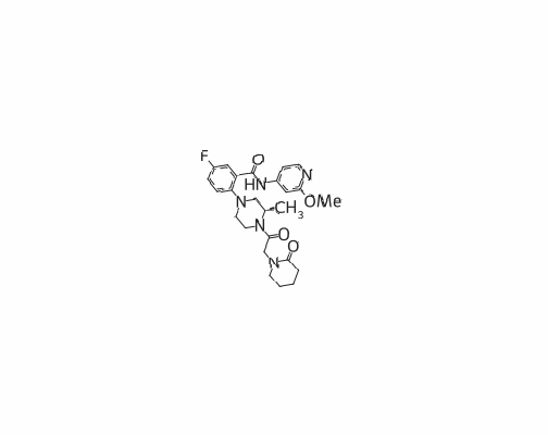 COc1cc(NC(=O)c2cc(F)ccc2N2CCN(C(=O)CN3CCCCC3=O)[C@H](C)C2)ccn1